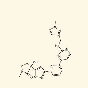 CN1CCC(O)(c2cc(-c3cccc(-c4ccnc(NCc5ccn(C)n5)n4)n3)no2)C1=O